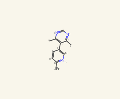 Cc1ncnc(C)c1-c1ccc(C(C)C)nc1